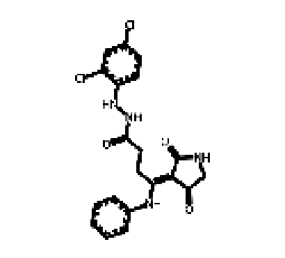 O=C(CCC(Nc1ccccc1)=C1C(=O)CNC1=O)NNc1ccc(Cl)cc1Cl